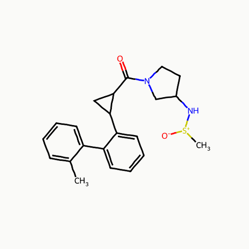 Cc1ccccc1-c1ccccc1C1CC1C(=O)N1CCC(N[S+](C)[O-])C1